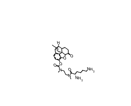 CN(CCN(C)C(=O)[C@@H](N)CCCCN)C(=O)Oc1ccc2c3c1OC1C(=O)CCC4[C@@H](C2)N(C)CC[C@]314